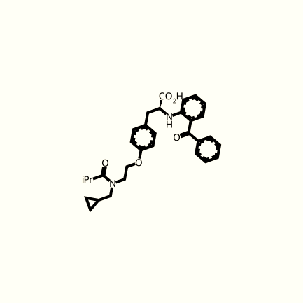 CC(C)C(=O)N(CCOc1ccc(C[C@H](Nc2ccccc2C(=O)c2ccccc2)C(=O)O)cc1)CC1CC1